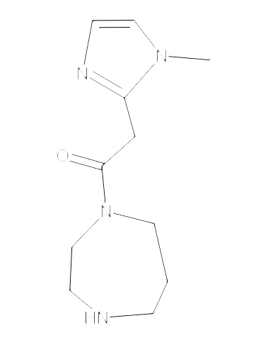 Cn1ccnc1CC(=O)N1CCCNCC1